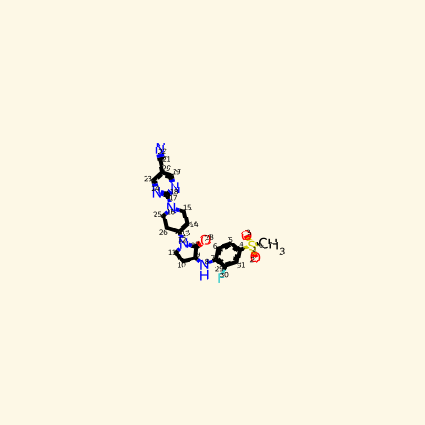 CS(=O)(=O)c1ccc(NC2CCN(C3CCN(c4ncc(C#N)cn4)CC3)C2=O)c(F)c1